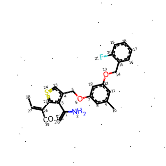 C=C(N)c1c(COc2cc(C)cc(OCc3ccccc3F)c2)csc1/C(=C\C)C(=O)OCC